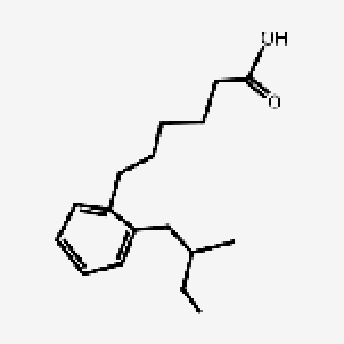 CCC(C)Cc1ccccc1CCCCCC(=O)O